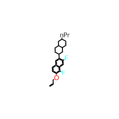 C=CCOc1ccc2cc(C3CCC4CC(CCC)CCC4C3)c(F)cc2c1F